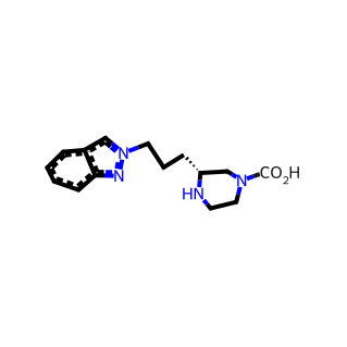 O=C(O)N1CCN[C@H](CCCn2cc3ccccc3n2)C1